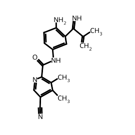 C=C(C)C(=N)c1cc(NC(=O)c2ncc(C#N)c(C)c2C)ccc1N